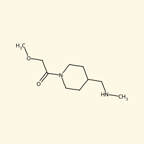 CNCC1CCN(C(=O)COC)CC1